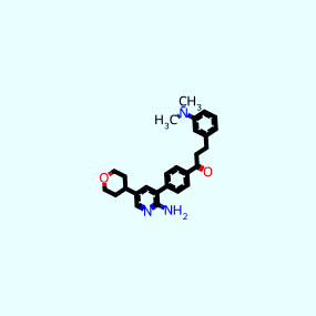 CN(C)c1cccc(CCC(=O)c2ccc(-c3cc(C4CCOCC4)cnc3N)cc2)c1